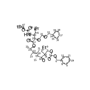 CC[C@H](OC(=O)OCc1ccccc1)C(C)(C)C(=O)[C@H](C)/C(C)=C(\C)C(C)OC(=O)C(OCOCc1ccccc1)[C@H](CC(C)C)NC(=O)OC(C)(C)C